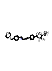 CC(C)C(NC(=O)C1=CC=C(C#C/C=C/C2=CC=C(CN3CCOCC3)CC2)CC1)C(=O)NO